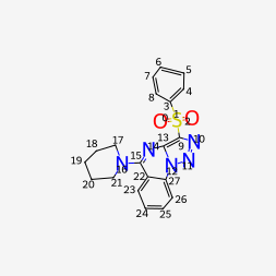 O=S(=O)(c1ccccc1)c1nnn2c1nc(N1CCCCC1)c1ccccc12